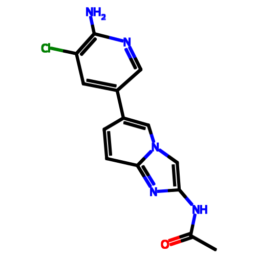 CC(=O)Nc1cn2cc(-c3cnc(N)c(Cl)c3)ccc2n1